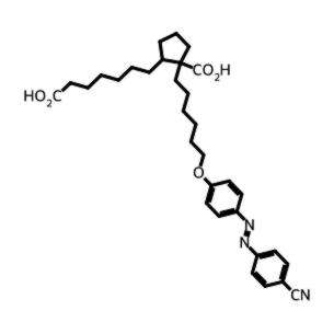 N#Cc1ccc(N=Nc2ccc(OCCCCCCC3(C(=O)O)CCCC3CCCCCCC(=O)O)cc2)cc1